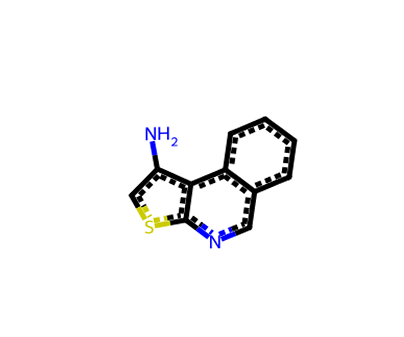 Nc1csc2ncc3ccccc3c12